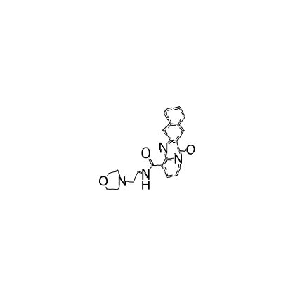 O=C(NCCN1CCOCC1)c1cccn2c(=O)c3cc4ccccc4cc3nc12